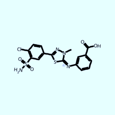 Cn1nc(-c2ccc(Cl)c(S(N)(=O)=O)c2)s/c1=N/c1cccc(C(=O)O)c1